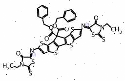 CCN1C(=O)/C(=N/c2cc3sc4c(c3s2)C(C(=O)OCc2ccccc2)(C(=O)OCc2ccccc2)c2c-4sc3cc(/N=C4\SC(=S)N(CC)C4=O)sc23)SC1=S